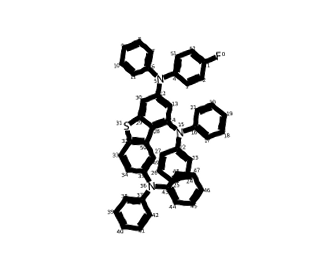 Fc1ccc(N(c2ccccc2)c2cc(N(c3ccccc3)c3ccccc3)c3c(c2)sc2ccc(N(c4ccccc4)c4ccccc4)cc23)cc1